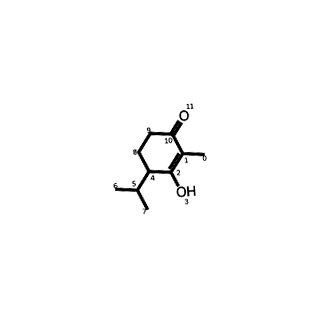 CC1=C(O)C(C(C)C)CCC1=O